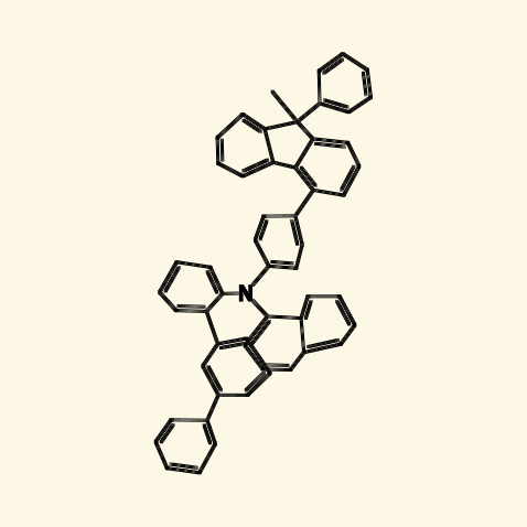 CC1(c2ccccc2)c2ccccc2-c2c(-c3ccc(N(c4ccccc4-c4cccc(-c5ccccc5)c4)c4cccc5ccccc45)cc3)cccc21